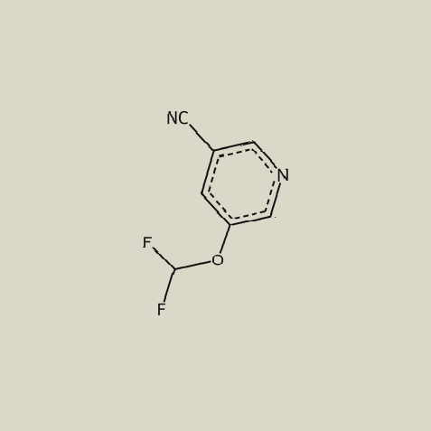 N#Cc1cn[c]c(OC(F)F)c1